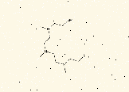 CC(C)CCN(C)CCN(C)CCN(C)CCN